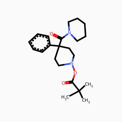 CC(C)(C)C(=O)ON1CCC(C(=O)N2CCCCC2)(c2ccccc2)CC1